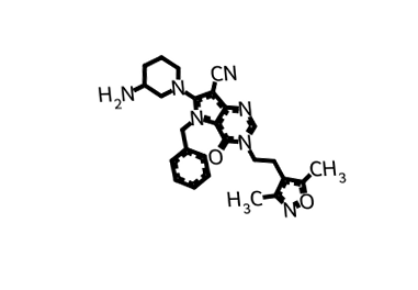 Cc1noc(C)c1CCn1cnc2c(C#N)c(N3CCCC(N)C3)n(Cc3ccccc3)c2c1=O